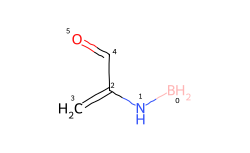 BNC(=C)C=O